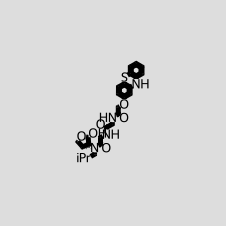 CC(C)CN(C(=O)CNC(=O)CNC(=O)COc1ccc2c(c1)Nc1ccccc1S2)[C@H]1CCOC1O